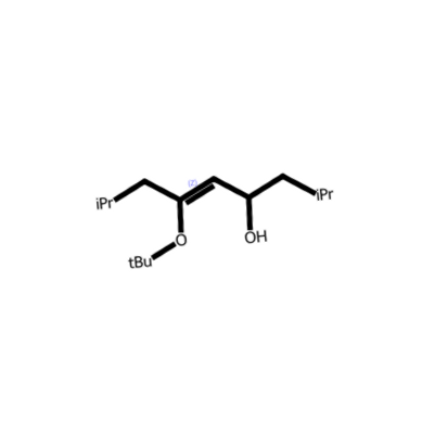 CC(C)C/C(=C/C(O)CC(C)C)OC(C)(C)C